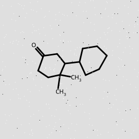 CC1(C)CCC(=O)CC1C1CCCCC1